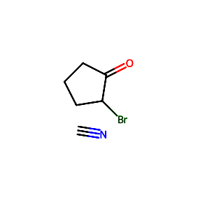 C#N.O=C1CCCC1Br